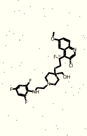 COc1ccc2ncc(Cl)c([C@@H](F)CCC3(CO)CCN(CCNc4c(F)cc(F)cc4F)CC3)c2c1